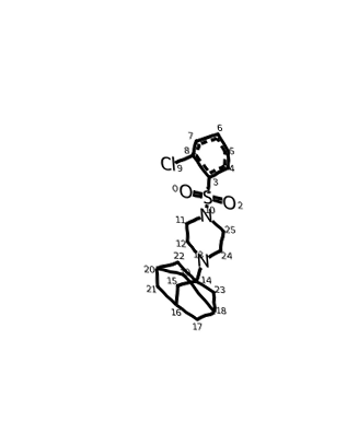 O=S(=O)(c1ccccc1Cl)N1CCN(C23CC4CC(CC(C4)C2)C3)CC1